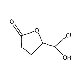 O=C1CCC(C(O)Cl)O1